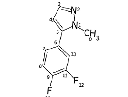 Cn1nc[c]c1-c1ccc(F)c(F)c1